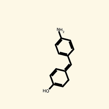 Nc1ccc(C=C2C=CC(O)=CC2)cc1